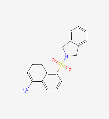 Nc1cccc2c(S(=O)(=O)N3Cc4ccccc4C3)cccc12